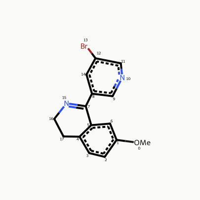 COc1ccc2c(c1)C(c1cncc(Br)c1)=NCC2